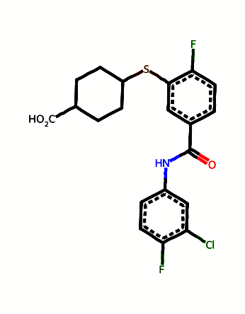 O=C(Nc1ccc(F)c(Cl)c1)c1ccc(F)c(SC2CCC(C(=O)O)CC2)c1